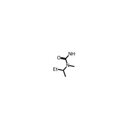 CCC(C)N(C)C([NH])=O